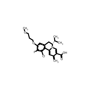 C=C1C=C2c3c(cc(OCCCOC)c(F)c3Cl)C[C@H](C(C)C)N2C=C1C(=O)O